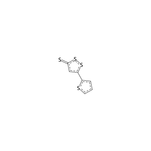 S=c1cc(-c2cccs2)ss1